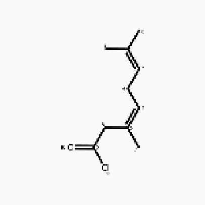 CC(C)=CCC=C(C)CC(=O)Cl